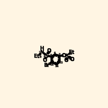 CCNS(=O)(=O)c1cc(OS(=O)(=O)CC)ccc1Br